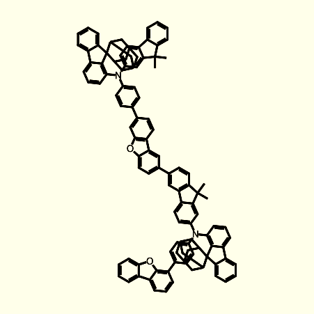 CC1(C)c2ccccc2-c2ccc(N(c3ccc(-c4ccc5c(c4)oc4ccc(-c6ccc7c(c6)-c6ccc(N(c8ccc(-c9cccc%10c9oc9ccccc9%10)cc8)c8cccc9c8C8(c%10ccccc%10-9)C9CC%10CC(C9)CC8C%10)cc6C7(C)C)cc45)cc3)c3cccc4c3C3(c5ccccc5-4)C4CC5CC(C4)CC3C5)cc21